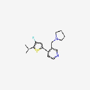 CC(C)c1sc(-c2ccncc2CN2CCCC2)cc1F